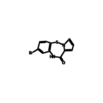 O=C1Nc2cc(Br)ccc2Sn2cccc21